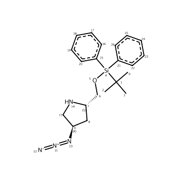 CC(C)(C)[Si](OC[C@@H]1C[C@@H](N=[N+]=[N-])CN1)(c1ccccc1)c1ccccc1